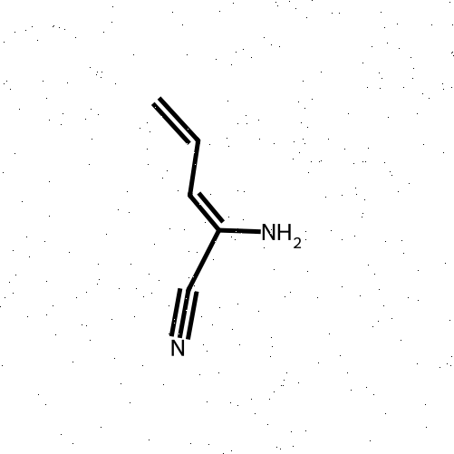 C=CC=C(N)C#N